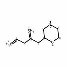 C=CCC(=C)CC1CNCCO1